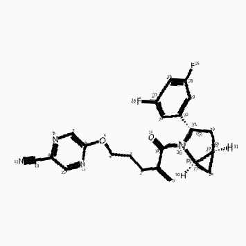 C=C(CCCOc1cnc(C#N)cn1)C(=O)N1[C@@H]2C[C@@H]2C[C@H]1c1cc(F)cc(F)c1